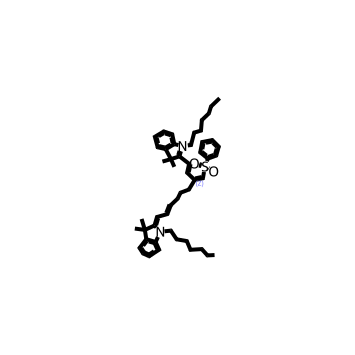 CCCCCCCN1C(=CC=CCCC/C(C=CC2=[N+](CCCCCCC)c3ccccc3C2(C)C)=C/S(=O)(=O)c2ccccc2)C(C)(C)c2ccccc21